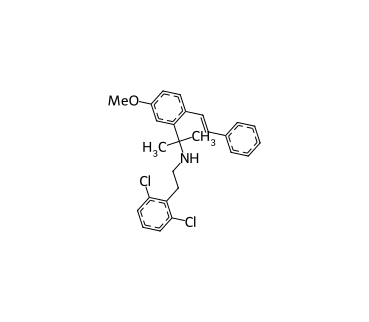 COc1ccc(C=Cc2ccccc2)c(C(C)(C)NCCc2c(Cl)cccc2Cl)c1